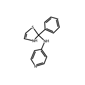 [c]1ccc(C2(Nc3ccncc3)NC=CS2)cc1